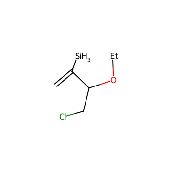 C=C([SiH3])C(CCl)OCC